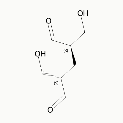 O=C[C@H](CO)C[C@@H](C=O)CO